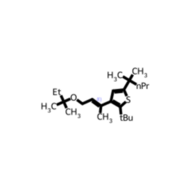 CCCC(C)(C)c1cc(/C(C)=C/COC(C)(C)CC)c(C(C)(C)C)s1